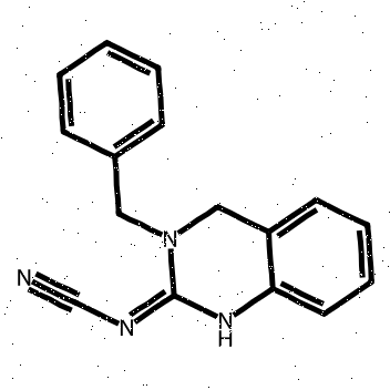 N#C/N=C1/Nc2ccccc2CN1Cc1ccccc1